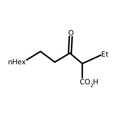 CCCCCCCCC(=O)C(CC)C(=O)O